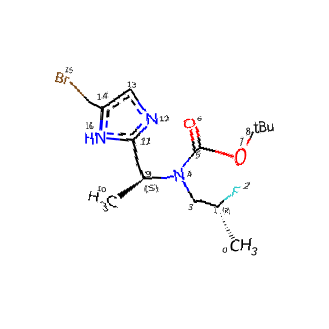 C[C@@H](F)CN(C(=O)OC(C)(C)C)[C@@H](C)c1ncc(Br)[nH]1